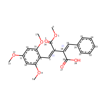 COC(=O)C(=C\c1c(OC)cc(OC)cc1OC)/C(=C/c1ccccc1)C(=O)O